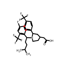 CC(C)CCC(c1ccc(F)cc1C(F)(F)F)N1CCC(CC(=O)O)CC1c1ccc(C(F)(F)F)cc1